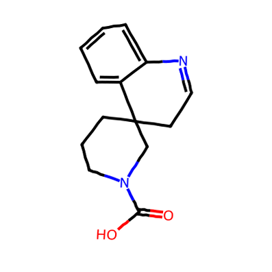 O=C(O)N1CCCC2(CC=Nc3ccccc32)C1